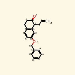 C=CCC1C(=O)CCc2ccc(OCc3ccccc3)cc21